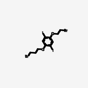 BrCCCOc1cc(I)c(OCCBr)cc1I